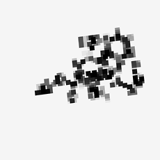 COC1(c2nccc(C)c2[C@@H]2CCN(C(=O)OC(C)(C)C)[C@H](C)C2)CCOC1